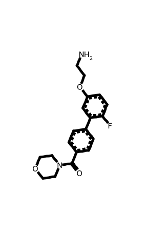 NCCOc1ccc(F)c(-c2ccc(C(=O)N3CCOCC3)cc2)c1